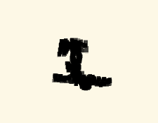 COc1cccc(F)c1CN1CC(c2nnc(-c3ccc4[nH]nc(-c5cnn(C)c5)c4c3)o2)C[C@@H](OC)C1